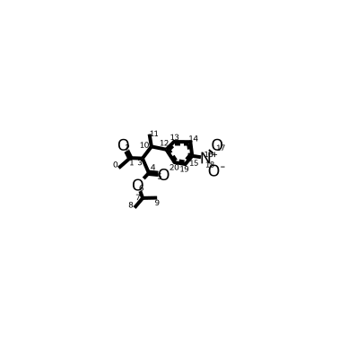 CC(=O)C(C(=O)OC(C)C)C(C)c1ccc([N+](=O)[O-])cc1